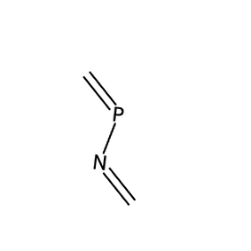 C=NP=C